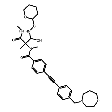 CNC(=O)C(C)(C(O)NOC1CCCCO1)N(C)C(=O)c1ccc(C#Cc2ccc(CN3CCCOCC3)cc2)cc1